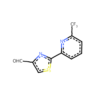 O=Cc1csc(-c2cccc(C(F)(F)F)n2)n1